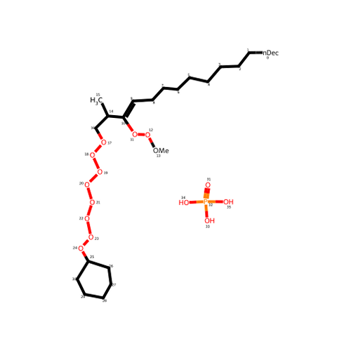 CCCCCCCCCCCCCCCCCCC=C(OOOC)C(C)COOOOOOOOC1CCCCC1.O=P(O)(O)O